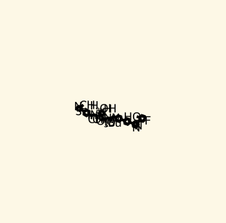 Cc1ncsc1-c1ccc([C@H](C)NC(=O)[C@@H]2C[C@@H](O)CN2C(=O)[C@@H](NC(=O)CN2CCC(c3ccc(-c4cnnc(-c5cc(F)ccc5O)c4)cc3)CC2)C(C)(C)C)cc1